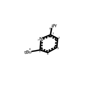 CC(C)c1cccc(C(C)(C)C)n1